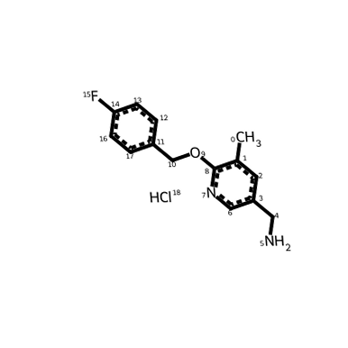 Cc1cc(CN)cnc1OCc1ccc(F)cc1.Cl